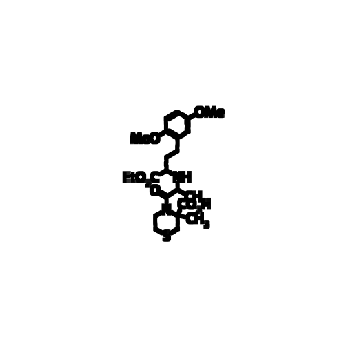 CCOC(=O)C(CCc1cc(OC)ccc1OC)NC(C)C(=O)N1CCSCC1(C)C(=O)O